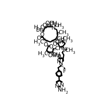 CC[C@H]1OC(=O)[C@H](C)[C@@H](O[C@H]2C[C@@](C)(OC)[C@@H](O)[C@H](C)O2)C[C@@H](O[C@H]2C[C@@H](N(C)CCc3cn([C@H](CF)Cc4ccc(-c5cnc(N)nc5)cc4)nn3)C[C@@H](C)O2)[C@](C)(O)C[C@@H](C)CN(C)[C@H](C)[C@@H](O)[C@]1(C)O